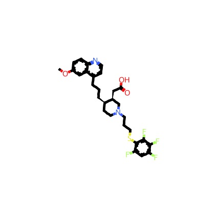 COc1ccc2nccc(CCC[C@@H]3CCN(CCCSc4c(F)cc(F)c(F)c4F)C[C@@H]3CC(=O)O)c2c1